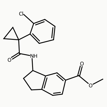 COC(=O)c1ccc2c(c1)C(NC(=O)C1(c3ccccc3Cl)CC1)CC2